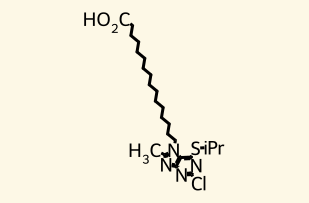 Cc1nc2nc(Cl)nc(SC(C)C)c2n1CCCCCCCCCCCCCCCC(=O)O